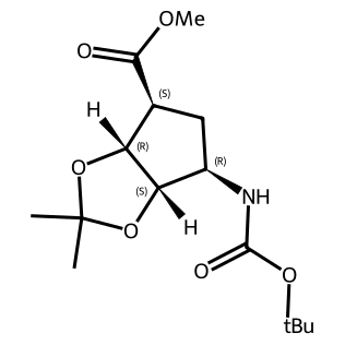 COC(=O)[C@H]1C[C@@H](NC(=O)OC(C)(C)C)[C@@H]2OC(C)(C)O[C@@H]21